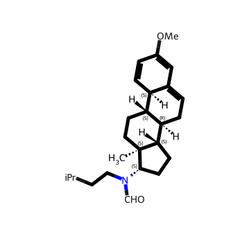 COC1=CC2=CC[C@@H]3[C@H](CC[C@]4(C)[C@@H](N(C=O)CCC(C)C)CC[C@@H]34)[C@H]2C=C1